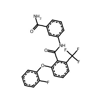 NC(=O)c1cccc(NC(=O)c2c(Oc3ccccc3F)cccc2C(F)(F)F)c1